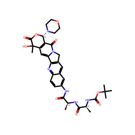 C[C@H](NC(=O)OC(C)(C)C)C(=O)N[C@@H](C)C(=O)Nc1ccc2nc3c(cc2c1)Cn1c-3cc2c(c1=O)[C@@H](N1CCOCC1)OC(=O)C2(C)O